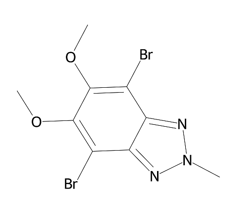 COc1c(OC)c(Br)c2nn(C)nc2c1Br